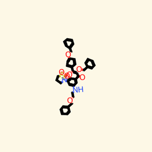 O=c1c(OCc2ccccc2)c(-c2ccc(OCc3ccccc3)cc2)oc2c(N3CCCS3(=O)=O)cc(NCCOCc3ccccc3)cc12